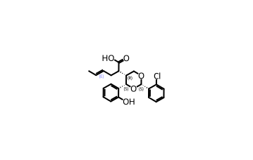 C/C=C/CC(C(=O)O)[C@@H]1CO[C@H](c2ccccc2Cl)O[C@@H]1c1ccccc1O